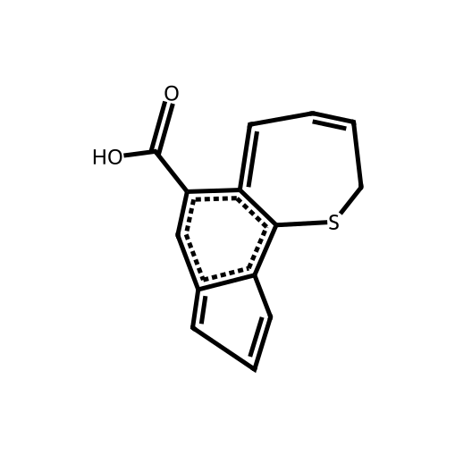 O=C(O)c1cc2c(c3c1=CC=CCS3)C=CC=2